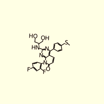 CSc1ccc(-c2nc(NC(CO)CO)nc3c2ccc(=O)n3-c2ccc(F)cc2F)cc1